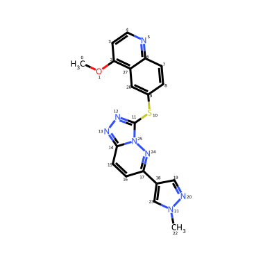 COc1ccnc2ccc(Sc3nnc4ccc(-c5cnn(C)c5)nn34)cc12